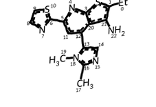 CCc1sc2nc(-c3nccs3)cc(-c3cnc(C)n3C)c2c1N